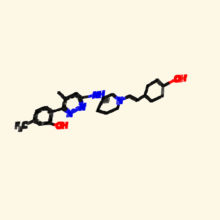 Cc1cc(N[C@@H]2CCCN(CCC3CCC(O)CC3)C2)nnc1-c1ccc(C(F)(F)F)cc1O